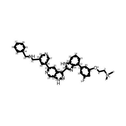 CN(C)CCOc1cc(F)cc(-c2cccc3[nH]c(-c4n[nH]c5cnc(-c6cncc(CNCc7ccccc7)c6)cc45)nc23)c1